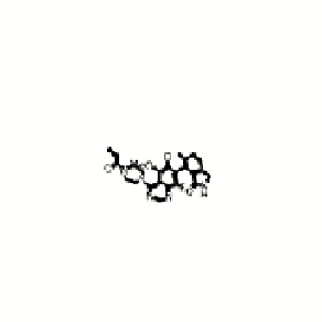 C=CC(=O)N1CCN(c2ncnc3c(F)c(-c4c(C)ccc5c4C(=O)NC5)c(Cl)c(OC)c23)CC1